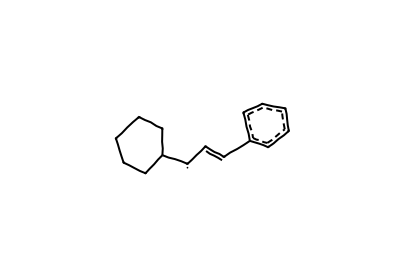 [CH](/C=C/c1ccccc1)C1CCCCC1